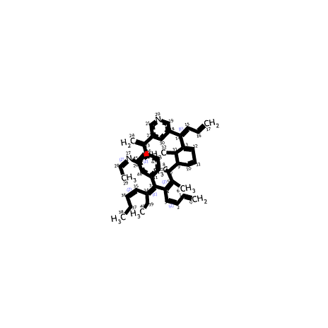 C=C\C=C/C(=C(\C)C(C)C1C=CC=C(/C(=C\C=C)c2cncc(C(=C)/C=C\N=C/C)c2)C1C)C(=C(/C=C\CC)CC)/c1ccccc1